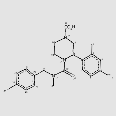 Cc1cc(F)ccc1C1CN(C(=O)O)CCN1C(=O)N(C)Cc1ccc(F)cc1